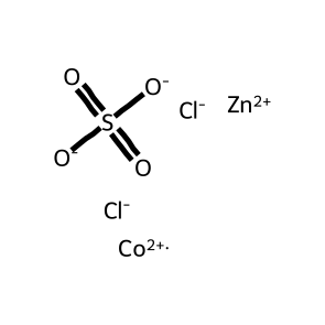 O=S(=O)([O-])[O-].[Cl-].[Cl-].[Co+2].[Zn+2]